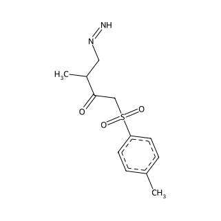 Cc1ccc(S(=O)(=O)CC(=O)C(C)CN=N)cc1